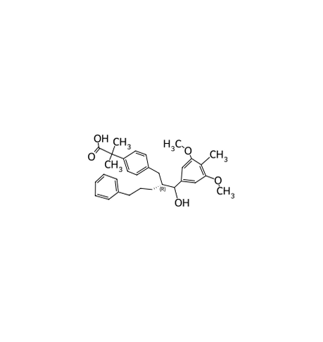 COc1cc(C(O)[C@H](CCCc2ccccc2)Cc2ccc(C(C)(C)C(=O)O)cc2)cc(OC)c1C